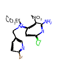 CCOC(=O)N(Cc1ccc(Br)nc1)c1cc(Cl)nc(N)c1[N+](=O)[O-]